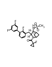 CS(=O)(=O)N[C@H]1C2CC(C2)N(C(=O)C2(F)CC2)[C@H]1Cc1cccc(-c2cc(F)cc(F)c2)c1F